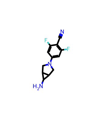 N#Cc1c(F)cc(N2CC3C(N)C3C2)cc1F